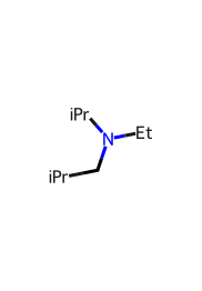 [CH2]CN(CC(C)C)C(C)C